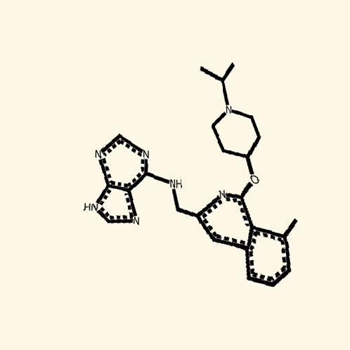 Cc1cccc2cc(CNc3ncnc4[nH]cnc34)nc(OC3CCN(C(C)C)CC3)c12